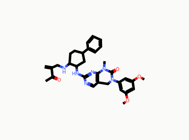 C=C(CNC1CCC(c2ccccc2)CC1Nc1ncc2c(n1)N(C)C(=O)N(c1cc(OC)cc(OC)c1)C2)C(C)=O